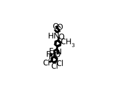 Cc1cc(C2=NO[C@@](c3cc(Cl)c(Cl)c(Cl)c3)(C(F)(F)F)C2)ccc1C(=O)NC1CS(=O)(=O)C1